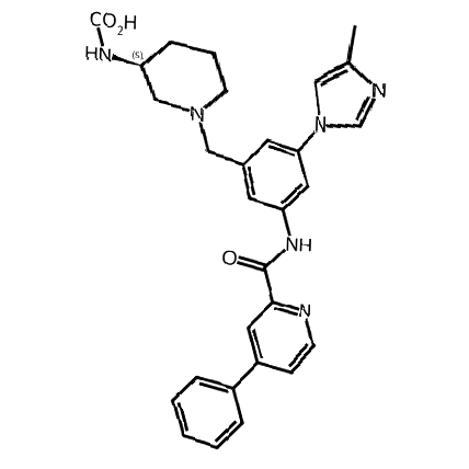 Cc1cn(-c2cc(CN3CCC[C@H](NC(=O)O)C3)cc(NC(=O)c3cc(-c4ccccc4)ccn3)c2)cn1